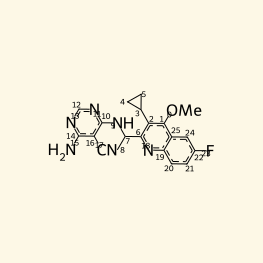 COc1c(C2CC2)c(C(C)Nc2ncnc(N)c2C#N)nc2ccc(F)cc12